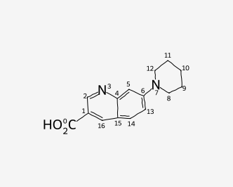 O=C(O)c1cnc2cc(N3CCCCC3)ccc2c1